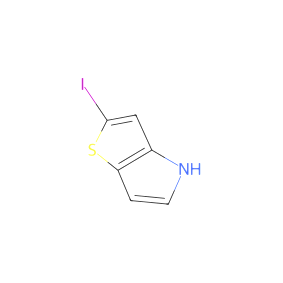 Ic1cc2[nH]ccc2s1